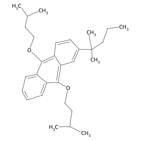 CCCC(C)(C)c1ccc2c(OCCC(C)C)c3ccccc3c(OCCC(C)C)c2c1